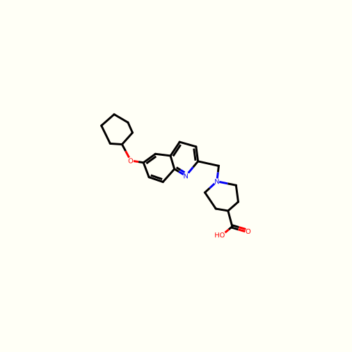 O=C(O)C1CCN(Cc2ccc3cc(OC4CCCCC4)ccc3n2)CC1